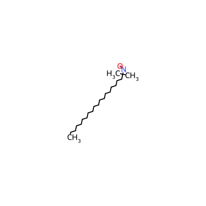 CCCCCCCCCCCCCCCCCCCC(C)(C)N=O